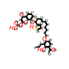 CCCc1c(OCCCC/C=C\C=C\C(Sc2ccc3c(=O)cc(OC(=O)O)oc3c2)C(O)c2cccs2)ccc(C(C)=O)c1O